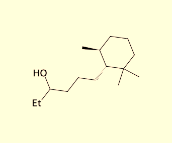 CCC(O)CCC[C@@H]1[C@@H](C)CCCC1(C)C